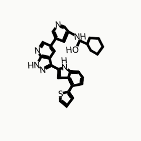 OC(Nc1cncc(-c2cnc3[nH]nc(-c4cc5c(-c6cccs6)cccc5[nH]4)c3c2)c1)C1CCCCC1